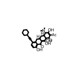 CC(=O)C1=C(O)[C@@H](N(C)C)[C@@H]2C[C@@H]3Cc4c(C#CC5CCCCC5)ccc(O)c4C(=O)C3=C(O)[C@]2(O)C1=O